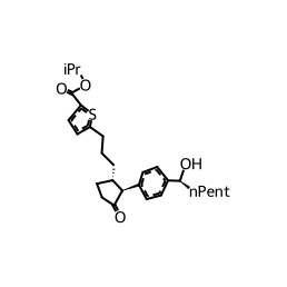 CCCCC[C@H](O)c1ccc([C@H]2C(=O)CC[C@@H]2CCCc2ccc(C(=O)OC(C)C)s2)cc1